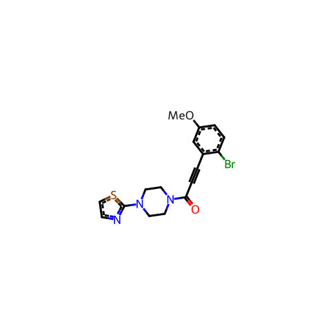 COc1ccc(Br)c(C#CC(=O)N2CCN(c3nccs3)CC2)c1